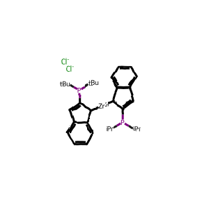 CC(C)P(C1=Cc2ccccc2[CH]1[Zr+2][CH]1C(P(C(C)(C)C)C(C)(C)C)=Cc2ccccc21)C(C)C.[Cl-].[Cl-]